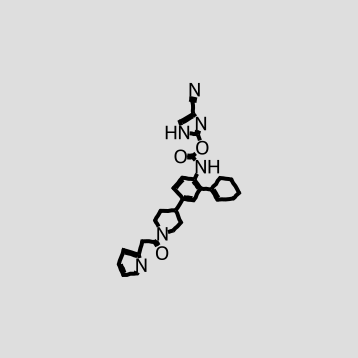 N#Cc1c[nH]c(OC(=O)Nc2ccc(C3CCN(C(=O)Cc4ccccn4)CC3)cc2C2=CCCCC2)n1